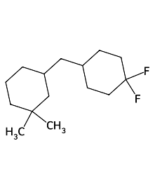 CC1(C)CCCC(CC2CCC(F)(F)CC2)C1